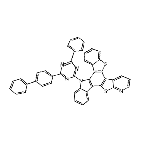 c1ccc(-c2ccc(-c3nc(-c4ccccc4)nc(-n4c5ccccc5c5c6sc7ncccc7c6c6sc7ccccc7c6c54)n3)cc2)cc1